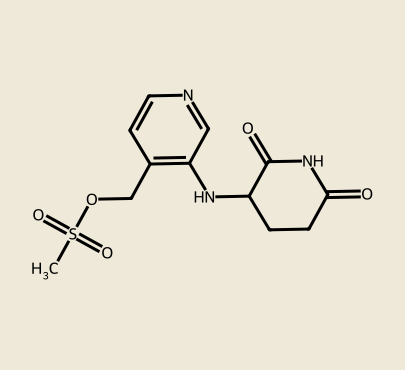 CS(=O)(=O)OCc1ccncc1NC1CCC(=O)NC1=O